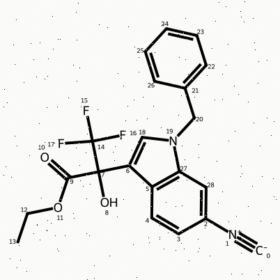 [C-]#[N+]c1ccc2c(C(O)(C(=O)OCC)C(F)(F)F)cn(Cc3ccccc3)c2c1